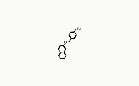 CCC(C)c1ccc(COc2ccc3ccccc3c2)cc1